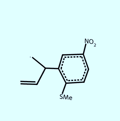 [CH2]C(C=C)c1cc([N+](=O)[O-])ccc1SC